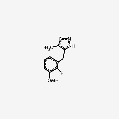 [CH2]c1nn[nH]c1Cc1cccc(OC)c1F